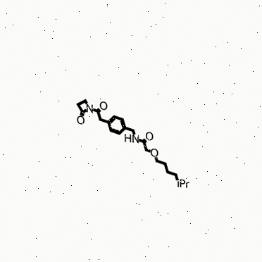 CC(C)CCCCOCC(=O)NCc1ccc(CC(=O)N2CCC2=O)cc1